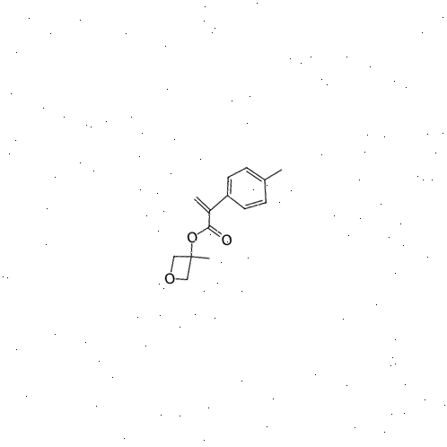 C=C(C(=O)OC1(C)COC1)c1ccc(C)cc1